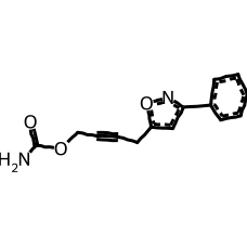 NC(=O)OCC#CCc1cc(-c2ccccc2)no1